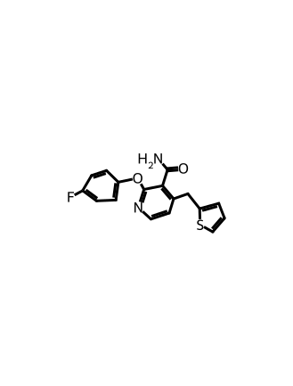 NC(=O)c1c(Cc2cccs2)ccnc1Oc1ccc(F)cc1